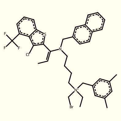 C/C=C(\c1sc2cccc(C(F)(F)F)c2c1Cl)N(CCCC[N+](CC)(CBr)Cc1cc(C)cc(C)c1)Cc1ccc2ccccc2c1